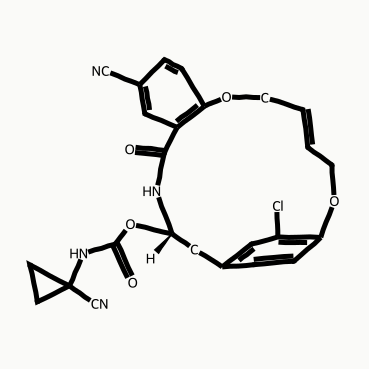 N#Cc1ccc2c(c1)C(=O)N[C@@H](OC(=O)NC1(C#N)CC1)Cc1ccc(c(Cl)c1)OC/C=C/CO2